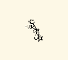 C[C@@](N)(Cc1ccccc1)c1nnc(CCN2CCCC2=O)o1